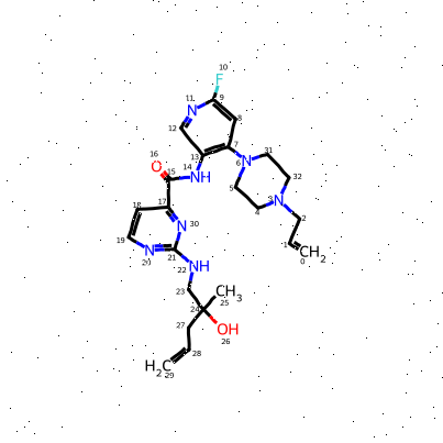 C=CCN1CCN(c2cc(F)ncc2NC(=O)c2ccnc(NCC(C)(O)CC=C)n2)CC1